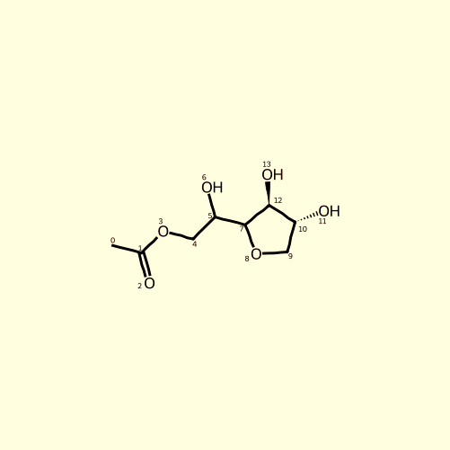 CC(=O)OCC(O)C1OC[C@@H](O)[C@@H]1O